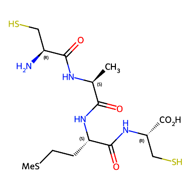 CSCC[C@H](NC(=O)[C@H](C)NC(=O)[C@@H](N)CS)C(=O)N[C@@H](CS)C(=O)O